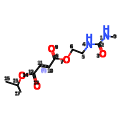 CNC(=O)NCCOC(=O)/C=C/C(=O)OC(C)C